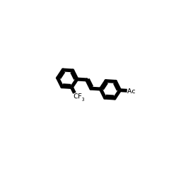 CC(=O)c1ccc(C=Cc2ccccc2C(F)(F)F)cc1